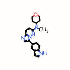 CN(c1ccc2ncc(-c3ccc4[nH]ccc4c3)n2n1)C1CCOCC1